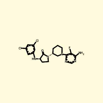 Nc1ncnc(N2CCC[C@@H](N3CC[C@@H](Nc4cc(Cl)cc(Cl)c4)C3=O)C2)c1F